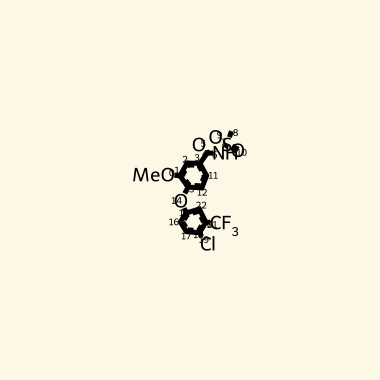 COc1cc(C(=O)NS(C)(=O)=O)ccc1Oc1ccc(Cl)c(C(F)(F)F)c1